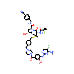 CNc1nc(Nc2ccc(C(=O)N3CCN(CC4CCC(CSC(C)(C)[C@H](NC(=O)C5(F)CC5)C(=O)N5C[C@H](O)C[C@H]5C(=O)NCc5ccc(C#N)cc5)CC4)CC3)cc2OC)ncc1Cl